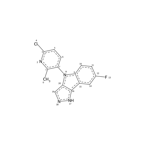 Cc1nc(Cl)ccc1-n1c2ccc(F)cc2c2[nH]ncc21